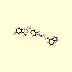 Cc1c(S(=O)(=O)Nc2cccc(CNCCOc3cccc4[nH]ccc34)c2)sc2ccc(Cl)cc12